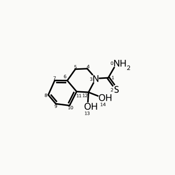 NC(=S)N1CCc2ccccc2C1(O)O